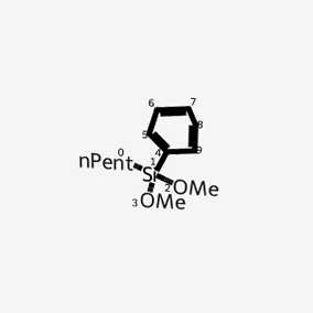 CCCCC[Si](OC)(OC)c1ccccc1